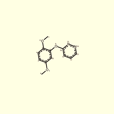 COc1ccc(OC)c(Oc2cc[c]nn2)c1